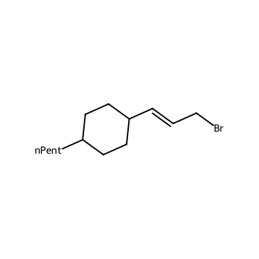 CCCCCC1CCC(C=CCBr)CC1